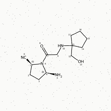 N#C[C@@H]1CC[C@H](N)N1C(=O)CNC1(CO)CCCC1